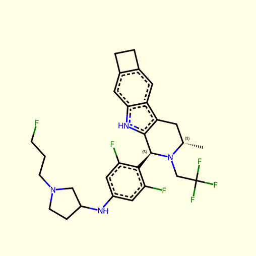 C[C@H]1Cc2c([nH]c3cc4c(cc23)CC4)[C@H](c2c(F)cc(NC3CCN(CCCF)C3)cc2F)N1CC(F)(F)F